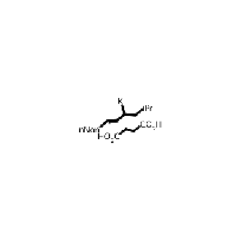 CCCCCCCCCC=C[CH]([K])CC(C)C.O=C(O)CCC(=O)O